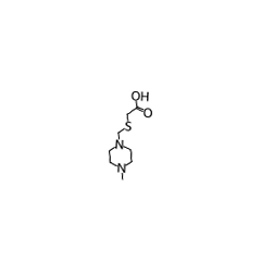 CN1CCN(CSCC(=O)O)CC1